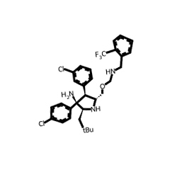 CC(C)(C)C[C@@H]1N[C@@H](COCNCc2ccccc2C(F)(F)F)[C@H](c2cccc(Cl)c2)[C@@]1(N)c1ccc(Cl)cc1